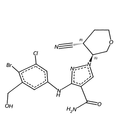 N#C[C@@H]1CCOC[C@H]1n1cc(C(N)=O)c(Nc2cc(Cl)c(Br)c(CO)c2)n1